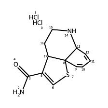 Cl.Cl.NC(=O)C1=CSC23C=CC=CC2NCCC13